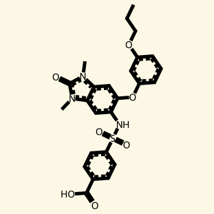 CCCOc1cccc(Oc2cc3c(cc2NS(=O)(=O)c2ccc(C(=O)O)cc2)n(C)c(=O)n3C)c1